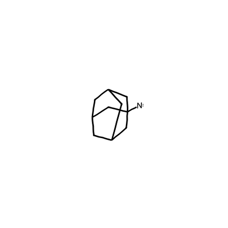 [N]C12CC3CC(CC(C3)C1)C2